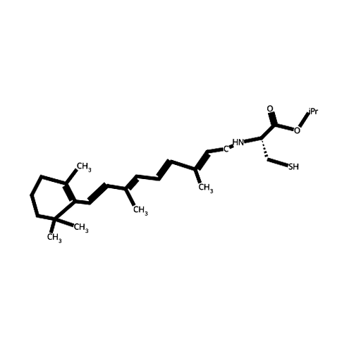 CC1=C(/C=C/C(C)=C/C=C/C(C)=C/CN[C@@H](CS)C(=O)OC(C)C)C(C)(C)CCC1